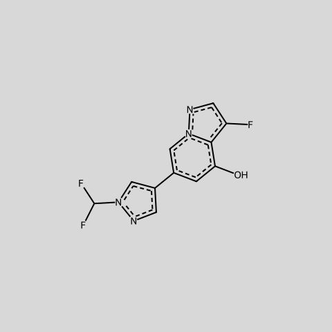 Oc1cc(-c2cnn(C(F)F)c2)cn2ncc(F)c12